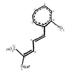 COC(=CC=Cc1ccccc1[N+](=O)[O-])C(=O)O